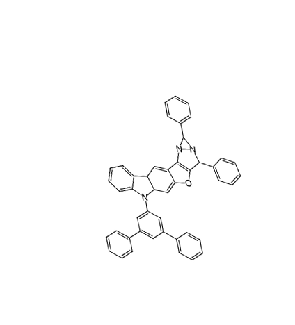 C1=c2oc3c(c2=CC2c4ccccc4N(c4cc(-c5ccccc5)cc(-c5ccccc5)c4)C12)N1C(c2ccccc2)N1C3c1ccccc1